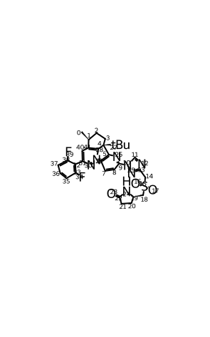 C[C@H]1CC[C@@](c2cccc(-n3cnc(CS(=O)(=O)C[C@H]4CCC(=O)N4)n3)n2)(C(C)(C)C)c2nnc(-c3c(F)cccc3F)cc21